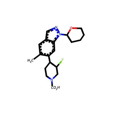 Cc1cc2cnn(C3CCCCO3)c2cc1C1CCN(C(=O)O)CC1F